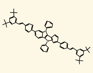 CC(C)(C)c1cc(/C=C/c2ccc(-c3ccc4c(c3)n(-c3ccccc3)c3c5ccc(-c6ccc(/C=C/c7cc(C(C)(C)C)cc(C(C)(C)C)c7)cc6)cc5n(-c5ccccc5)c43)cc2)cc(C(C)(C)C)c1